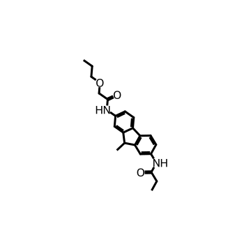 CCCOCC(=O)Nc1ccc2c(c1)C(C)c1cc(NC(=O)CC)ccc1-2